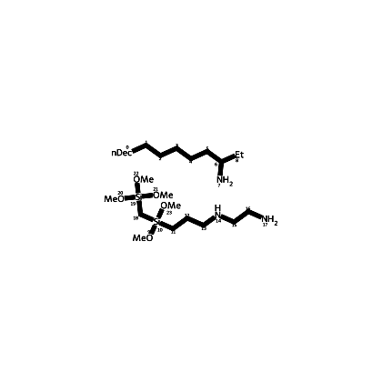 CCCCCCCCCCCCCCCC(N)CC.CO[Si](CCCNCCN)(C[Si](OC)(OC)OC)OC